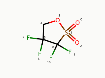 O=S1(=O)OCC(F)(F)C1(F)F